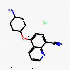 Cl.N#Cc1ccc(OC2CCC(N)CC2)c2cccnc12